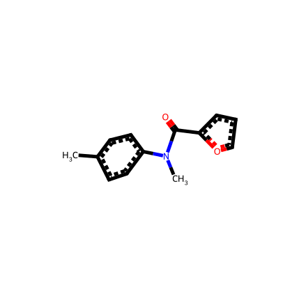 Cc1ccc(N(C)C(=O)c2ccco2)cc1